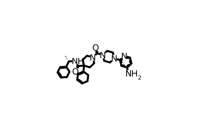 C[C@H](NC(=O)C1(C2=CC=CCC2)CCN(C(=O)N2CCN(c3cc(N)ccn3)CC2)CC1)C1=CC=CCC1